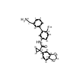 NCc1cccc(-c2cc(NC(=O)C3(c4ccc5c(c4)OCO5)CC3)ccc2F)c1